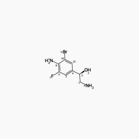 NC[C@H](O)c1cc(F)c(N)c(Br)c1